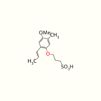 C/C=C/c1cc(OC)c(C)cc1OCCCS(=O)(=O)O